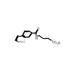 CCCCCCCC/C=C\c1ccc(C(=O)NCCCC(=O)O)cc1